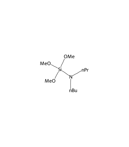 CCCCN(CCC)[Si](OC)(OC)OC